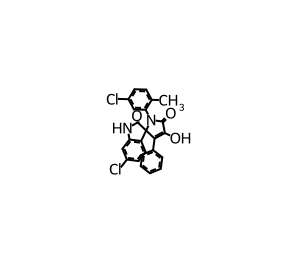 Cc1ccc(Cl)cc1N1C(=O)C(O)=C(c2ccccc2)C12C(=O)Nc1cc(Cl)ccc12